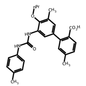 CCCOc1c(C)cc(-c2cc(C)ccc2C(=O)O)cc1NC(=O)Nc1ccc(C)cc1